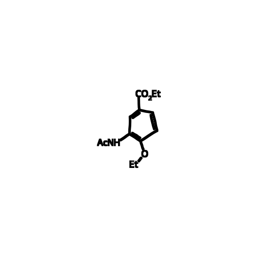 CCOC(=O)c1ccc(OCC)c(NC(C)=O)c1